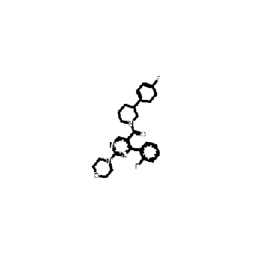 O=C(c1cnc(N2CCOCC2)nc1-c1ccccc1F)N1CCCC(C2=CC=C(F)CC2)C1